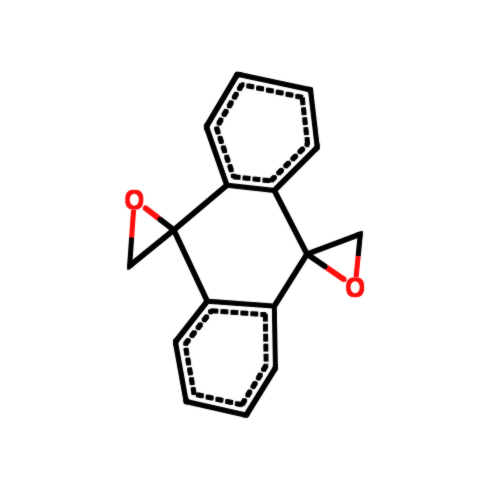 c1ccc2c(c1)C1(CO1)c1ccccc1C21CO1